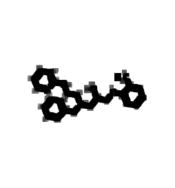 Cc1ccccc1OCC(O)CN(CCOc1ncccn1)Cc1ccccc1